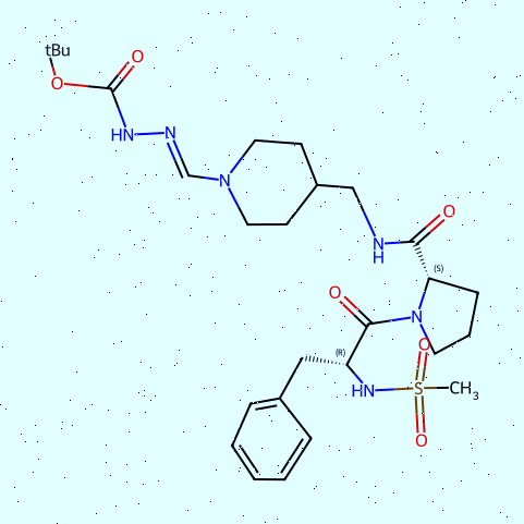 CC(C)(C)OC(=O)NN=CN1CCC(CNC(=O)[C@@H]2CCCN2C(=O)[C@@H](Cc2ccccc2)NS(C)(=O)=O)CC1